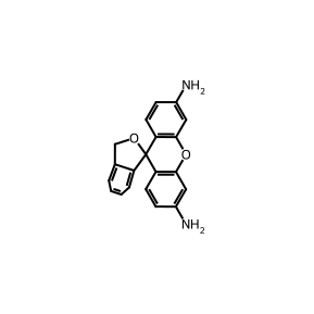 Nc1ccc2c(c1)Oc1cc(N)ccc1C21OCc2ccccc21